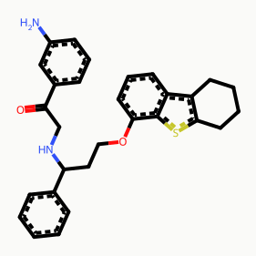 Nc1cccc(C(=O)CNC(CCOc2cccc3c4c(sc23)CCCC4)c2ccccc2)c1